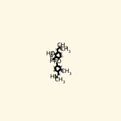 CNCc1ccc(COc2ccc(CC(C)C)c(O)c2C(F)(F)F)cc1C